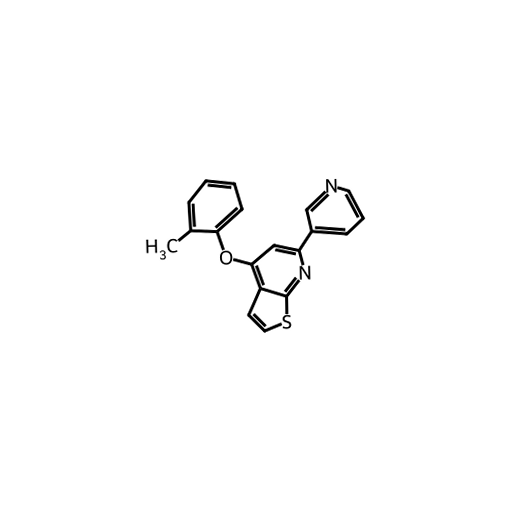 Cc1ccccc1Oc1cc(-c2cccnc2)nc2sccc12